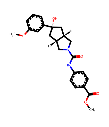 COC(=O)c1ccc(NC(=O)N2C[C@@H]3C[C@@](O)(c4cccc(OC)c4)C[C@@H]3C2)cc1